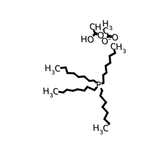 CC(=O)O.CC(=O)[O-].CCCCCCCC[P+](CCCCCCCC)(CCCCCCCC)CCCCCCCC